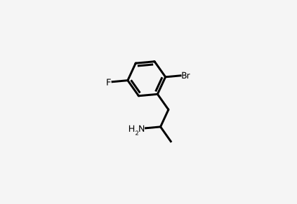 CC(N)Cc1cc(F)ccc1Br